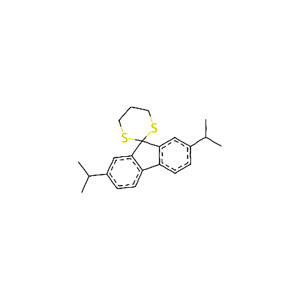 CC(C)c1ccc2c(c1)C1(SCCCS1)c1cc(C(C)C)ccc1-2